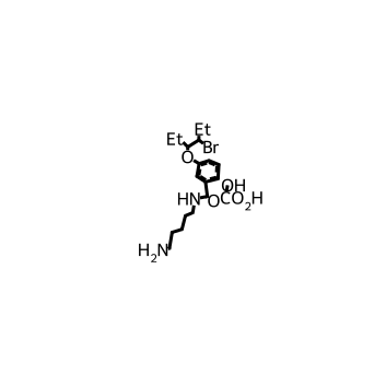 CCC(Br)C(CC)Oc1cccc(C(=O)NCCCCCN)c1.O=C(O)O